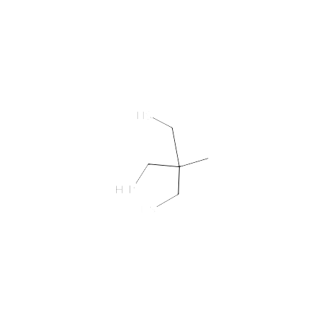 CC(CP)(CS)CS